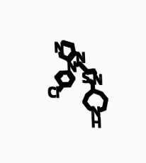 Clc1ccc(-n2c(-c3cnc(C4CCCNCCC4)s3)nc3ccncc32)cc1